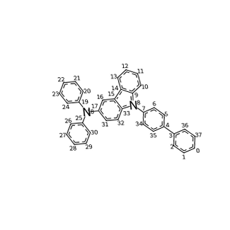 c1ccc(-c2ccc(-n3c4ccccc4c4cc(N(c5ccccc5)c5ccccc5)ccc43)cc2)cc1